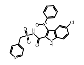 O=C(NS(=O)(=O)Cc1ccncc1)c1[nH]c2ccc(Cl)cc2c1[S+]([O-])c1ccccc1